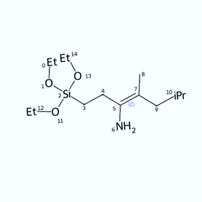 CCO[Si](CC/C(N)=C(\C)CC(C)C)(OCC)OCC